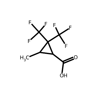 CC1C(C(=O)O)C1(C(F)(F)F)C(F)(F)F